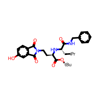 CC(C)C[C@H](N[C@H](CCN1C(=O)c2ccc(O)cc2C1=O)C(=O)OC(C)(C)C)C(=O)NCc1ccccc1